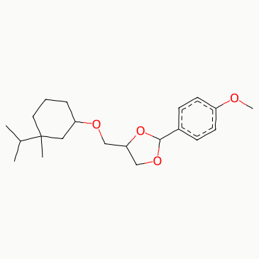 COc1ccc(C2OCC(COC3CCCC(C)(C(C)C)C3)O2)cc1